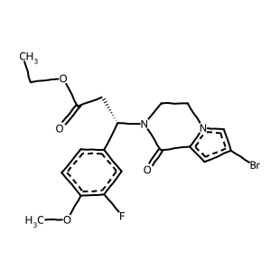 CCOC(=O)C[C@@H](c1ccc(OC)c(F)c1)N1CCn2cc(Br)cc2C1=O